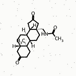 CC(=O)NC[C@]12CC[C@H]3[C@@H](CC[C@H]4CC(=O)CC[C@@]43C)[C@@H]1CC(=O)C2